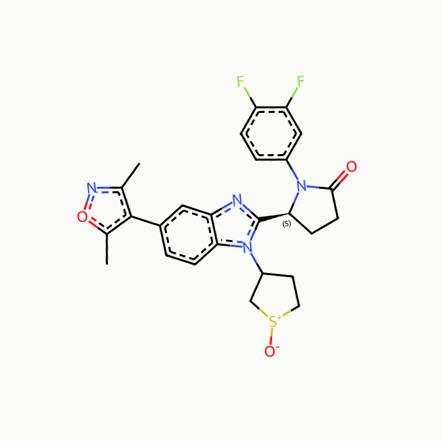 Cc1noc(C)c1-c1ccc2c(c1)nc([C@@H]1CCC(=O)N1c1ccc(F)c(F)c1)n2C1CC[S+]([O-])C1